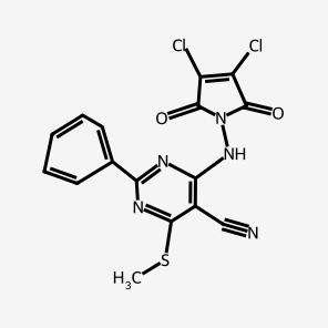 CSc1nc(-c2ccccc2)nc(NN2C(=O)C(Cl)=C(Cl)C2=O)c1C#N